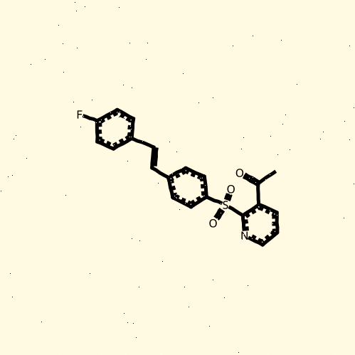 CC(=O)c1cccnc1S(=O)(=O)c1ccc(C=Cc2ccc(F)cc2)cc1